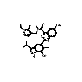 CCn1ncc(CN(C)C(=O)c2nc(-c3cc4c(NC)n[nH]c4c(O)c3C)nc3ccc(O)cc23)c1C